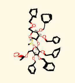 CS[C@H]1OC(COCc2ccccc2)[C@@H](OCc2ccccc2)[C@H](OCc2ccccc2)C1O[C@H]1OC(COC(C)=O)[C@@H](OCc2ccccc2)[C@H](OCc2ccccc2)C1OCc1ccccc1